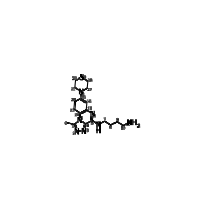 Cc1nnc2c(NCCCCN)nc3cc(N4CCSCC4)ccc3n12